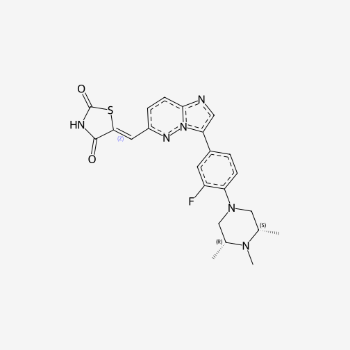 C[C@@H]1CN(c2ccc(-c3cnc4ccc(/C=C5\SC(=O)NC5=O)nn34)cc2F)C[C@H](C)N1C